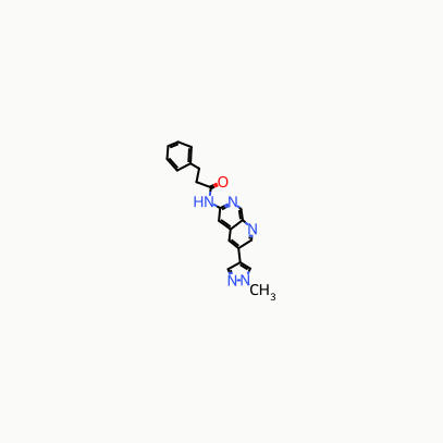 Cn1cc(-c2cnc3cnc(NC(=O)CCc4ccccc4)cc3c2)cn1